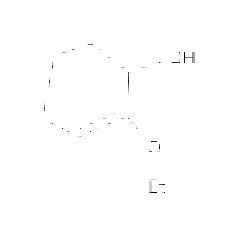 CCOC1=CCCCC1O